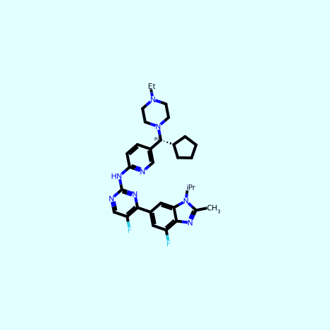 CCN1CCN([C@@H](c2ccc(Nc3ncc(F)c(-c4cc(F)c5nc(C)n(C(C)C)c5c4)n3)nc2)C2CCCC2)CC1